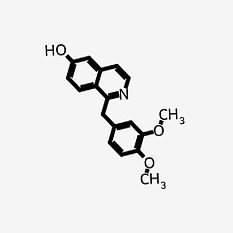 COc1ccc(Cc2nccc3cc(O)ccc23)cc1OC